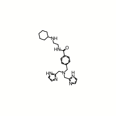 O=C(NCCNC1CCCCC1)c1ccc(CN(Cc2ncc[nH]2)Cc2ncc[nH]2)cc1